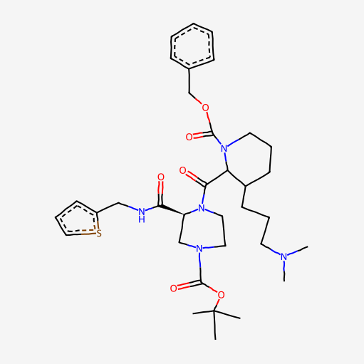 CN(C)CCCC1CCCN(C(=O)OCc2ccccc2)C1C(=O)N1CCN(C(=O)OC(C)(C)C)C[C@H]1C(=O)NCc1cccs1